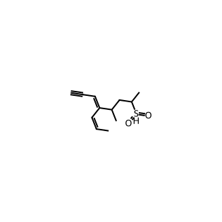 C#C/C=C(\C=C/C)C(C)CC(C)[SH](=O)=O